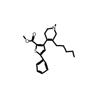 CCCCCC1=C(c2cc(-c3ccccc3)sc2C(=O)OC)CCN(C)C1